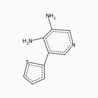 Nc1cncc(-c2cccs2)c1N